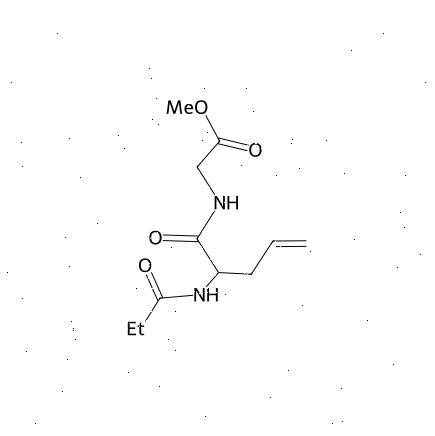 C=CCC(NC(=O)CC)C(=O)NCC(=O)OC